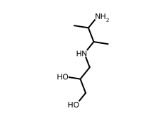 CC(N)C(C)NCC(O)CO